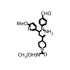 C=C(CC(c1ccc(OC)nc1)N(N)c1ccc(C=O)cc1)C1CCN(C(=O)N(C)O)CC1